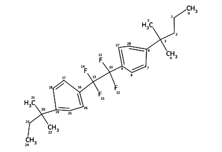 CCCC(C)(C)c1ccc(C(F)(F)C(F)(F)c2ccc(C(C)(C)CC)cc2)cc1